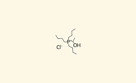 CCCC[P+](CCCC)(CCCC)C(C)O.[Cl-]